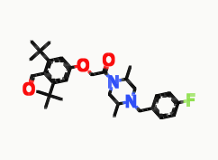 CC1CN(C(=O)COc2cc(C(C)(C)C)c(C=O)c(C(C)(C)C)c2)C(C)CN1Cc1ccc(F)cc1